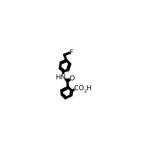 O=C(O)c1ccccc1C(=O)Nc1ccc(CF)cc1